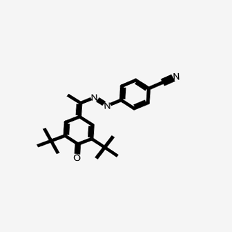 CC(N=Nc1ccc(C#N)cc1)=C1C=C(C(C)(C)C)C(=O)C(C(C)(C)C)=C1